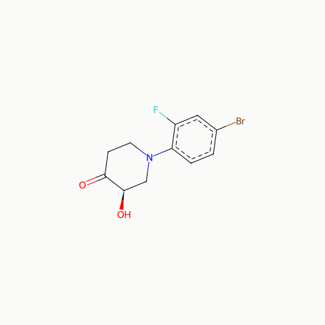 O=C1CCN(c2ccc(Br)cc2F)C[C@H]1O